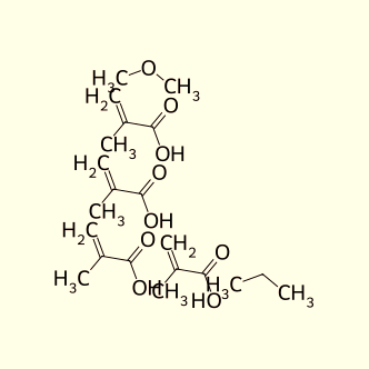 C=C(C)C(=O)O.C=C(C)C(=O)O.C=C(C)C(=O)O.C=C(C)C(=O)O.CCC.COC